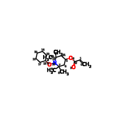 C=CC(=O)OC1CC(C)(C)N(OC2CCCCC2)C(C)(C)C1